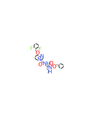 CCCC(C)(CNC(=O)c1cnc2c(OCc3c(F)cccc3F)cccn12)NC(=O)OCc1ccccc1